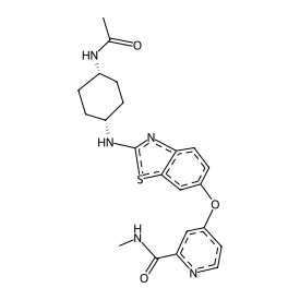 CNC(=O)c1cc(Oc2ccc3nc(N[C@H]4CC[C@@H](NC(C)=O)CC4)sc3c2)ccn1